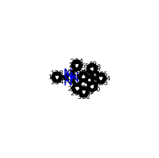 C1=CC2=C(CC1)c1c(-c3c(-c4nc(-c5ccccc5)nc(-c5ccccc5)n4)ccc4ccccc34)cccc1C21c2ccccc2-c2ccccc21